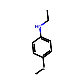 CBc1ccc(NCC)cc1